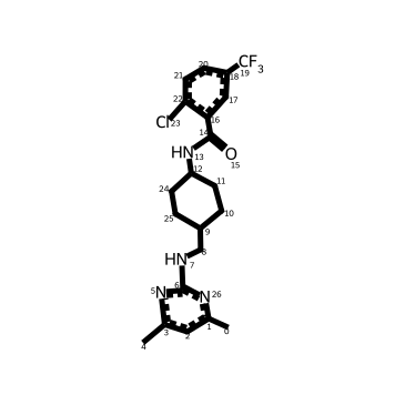 Cc1cc(C)nc(NCC2CCC(NC(=O)c3cc(C(F)(F)F)ccc3Cl)CC2)n1